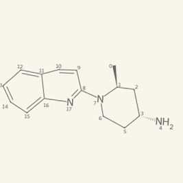 C[C@H]1C[C@H](N)CCN1c1ccc2ccccc2n1